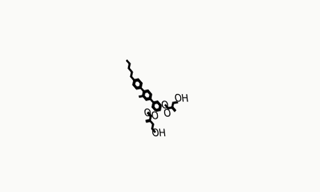 C=C(CCO)C(=O)Oc1cc(OC(=O)C(=C)CCO)cc(-c2ccc(-c3ccc(CCCCC)cc3)c(C)c2)c1